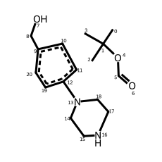 CC(C)(C)OC=O.OCc1ccc(N2CCNCC2)cc1